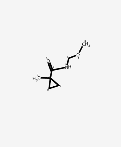 COCNC(=O)C1(C)CC1